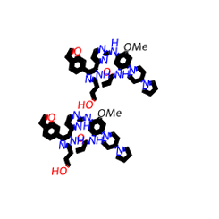 C=CC(=O)Nc1cc(Nc2nccc(-c3[nH]c(CCCO)nc3-c3ccc4ccoc4c3)n2)c(OC)cc1N1CCC(N2CCCC2)CC1.C=CC(=O)Nc1cc(Nc2nccc(-c3[nH]c(CCCO)nc3-c3ccc4ccoc4c3)n2)c(OC)cc1N1CCC(N2CCCC2)CC1